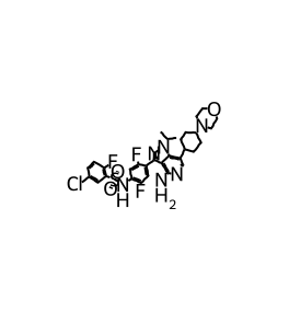 CC(C)n1nc(-c2cc(F)c(NS(=O)(=O)c3cc(Cl)ccc3F)cc2F)c2c(N)ncc(C3CCC(N4CCOCC4)CC3)c21